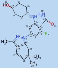 Cc1nn(-c2cc(F)c(C(N)=O)c(N[C@H]3CC[C@H](O)CC3)c2)c2c1C=CC(C)(C)C2